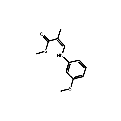 CSC(=O)C(C)=CNc1cccc(SC)c1